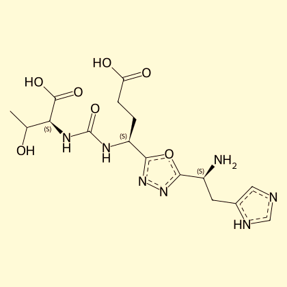 CC(O)[C@H](NC(=O)N[C@@H](CCC(=O)O)c1nnc([C@@H](N)Cc2cnc[nH]2)o1)C(=O)O